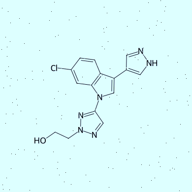 OCCn1ncc(-n2cc(-c3cn[nH]c3)c3ccc(Cl)cc32)n1